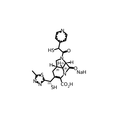 Cc1nnc([C@@H](S)C2=C(C(=O)O)N3C(=O)[C@@H]4[C@H]3[C@H](C2)CN4C(=O)C(S)c2ccncc2)s1.[NaH]